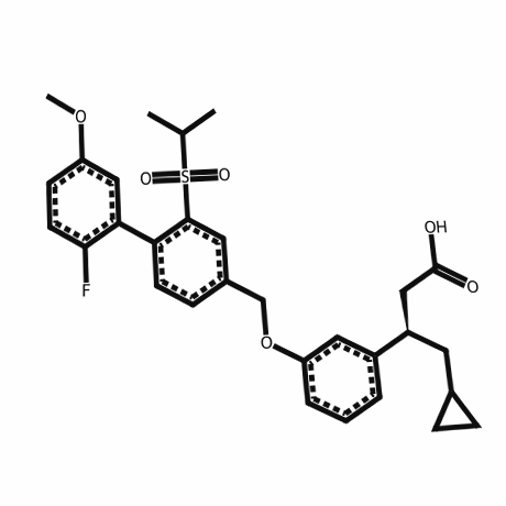 COc1ccc(F)c(-c2ccc(COc3cccc([C@@H](CC(=O)O)CC4CC4)c3)cc2S(=O)(=O)C(C)C)c1